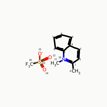 Cc1ccc2ccccc2[n+]1C.O=S(=O)([O-])C(F)(F)F